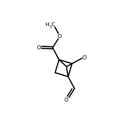 COC(=O)C12CC(C=O)(C1)C2Cl